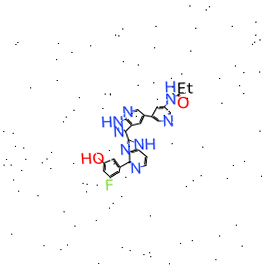 CCC(=O)Nc1cncc(-c2cnc3[nH]nc(-c4nc5c(-c6cc(O)cc(F)c6)nccc5[nH]4)c3c2)c1